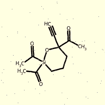 C#CC1(C(C)=O)CCC[Si](C(C)=O)(C(C)=O)O1